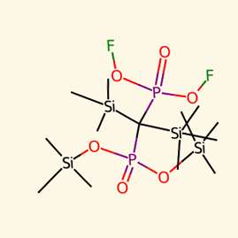 C[Si](C)(C)OP(=O)(O[Si](C)(C)C)C([Si](C)(C)C)([Si](C)(C)C)P(=O)(OF)OF